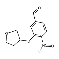 O=Cc1ccc([N+](=O)[O-])c(OC2CCOC2)c1